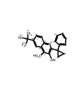 O=C(O)c1c(O)c(C2(c3ccccc3)CC2)nc2ccc(C(O)(C(F)(F)F)C(F)(F)F)cc12